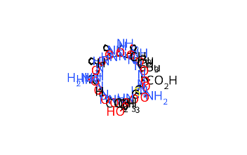 CCCC[C@H]1C(=O)N(C)[C@@H](CCCC)C(=O)N[C@@H](CCC(=O)O)C(=O)N[C@H](C(=O)NCC(N)=O)CSCC(=O)N[C@@H](Cc2ccc(O)cc2)C(=O)N(C)[C@@H](C)C(=O)N[C@@H](CC(=O)O)C(=O)N2CCC[C@H]2C(=O)N[C@@H](Cc2c[nH]cn2)C(=O)N[C@@H](CCCCN)C(=O)N2CC(c3ccccc3)C[C@H]2C(=O)N[C@@H](Cc2c[nH]c3ccccc23)C(=O)N[C@@H](CCCCN)C(=O)N[C@@H](Cc2c[nH]c3ccccc23)C(=O)N1C